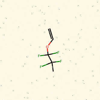 C=COC(F)(F)C(C)(F)F